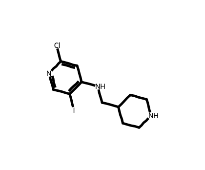 Clc1cc(NCC2CCNCC2)c(I)cn1